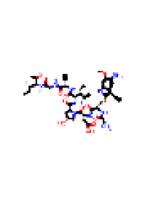 C#Cc1c(SC[C@H](NC(=O)CN)C(=O)N[C@@H](CC(=O)O)C(=O)N2C[C@H](O)C[C@H]2C(=O)N[C@H](C(=O)N[C@@H](C#C)C(=O)NCC(=O)N[C@H](C(C)=O)[C@@H](C)CC)[C@@H](C=C)CC)[nH]c2cc(OC)c(N)cc12